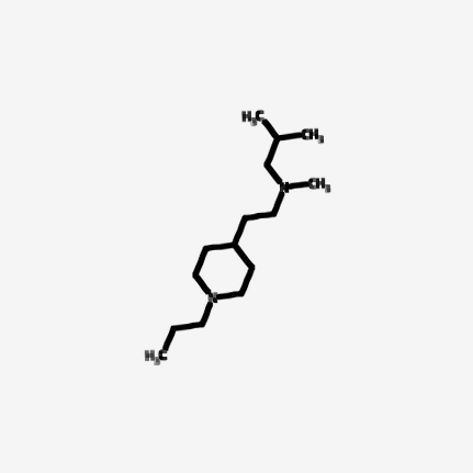 CCCN1CCC(CCN(C)CC(C)C)CC1